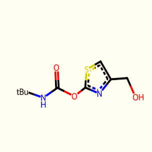 CC(C)(C)NC(=O)Oc1nc(CO)cs1